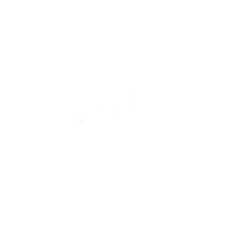 CCCCC(=O)C(Br)=C(C)C